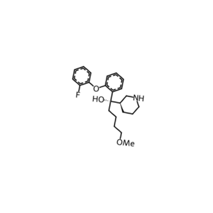 COCCCC[C@@](O)(c1ccccc1Oc1ccccc1F)[C@@H]1CCCNC1